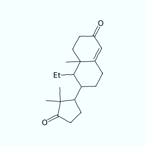 CCC1C(C2CCC(=O)C2(C)C)CCC2=CC(=O)CCC21C